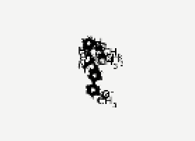 C[S+]([O-])c1cccc(-c2ccc(C[C@@H](C#N)NC(=O)[C@@H]3[C@H]4CC[C@H](C4)N3C(=O)OC(C)(C)C)c(F)c2)c1